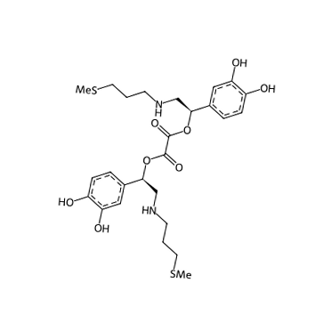 CSCCCNC[C@H](OC(=O)C(=O)O[C@@H](CNCCCSC)c1ccc(O)c(O)c1)c1ccc(O)c(O)c1